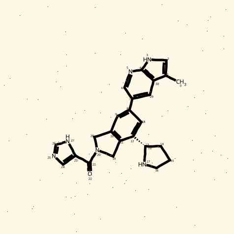 Cc1c[nH]c2ncc(-c3cc4c(c([C@@H]5CCCN5)c3)CN(C(=O)c3cnc[nH]3)C4)cc12